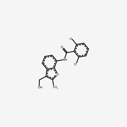 Cc1oc2c(NC(=O)c3c(Cl)cccc3Cl)cccc2c1CO